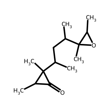 CC(CC(C)C1(C)C(=O)C1C)C1(C)OC1C